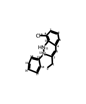 CCC1=Cc2cccc(Cl)c2NN1c1ccccc1